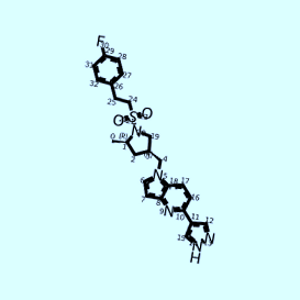 C[C@@H]1C[C@H](Cn2ccc3nc(-c4cn[nH]c4)ccc32)CN1S(=O)(=O)CCc1ccc(F)cc1